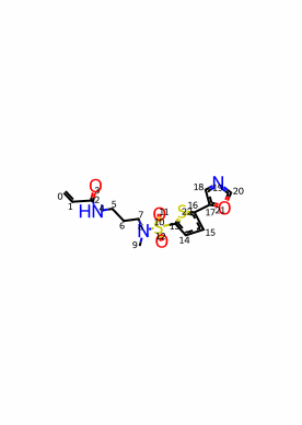 C=CC(=O)NCCCN(C)S(=O)(=O)c1ccc(-c2cnco2)s1